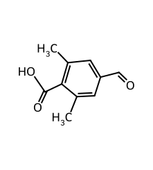 Cc1cc(C=O)cc(C)c1C(=O)O